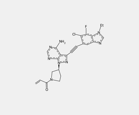 C=CC(=O)N1CC[C@H](n2nc(C#Cc3cc4ncn(CC)c4c(F)c3Cl)c3c(N)ncnc32)C1